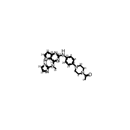 CC(=O)N1CCN(c2ccc(Nc3nc(N(C)c4ncc[nH]4)c4occc4n3)cc2)CC1